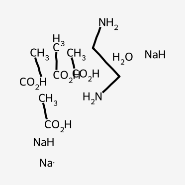 CC(=O)O.CC(=O)O.CC(=O)O.CC(=O)O.NCCN.O.[NaH].[NaH].[Na]